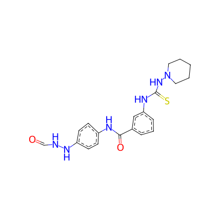 O=CNNc1ccc(NC(=O)c2cccc(NC(=S)NN3CCCCC3)c2)cc1